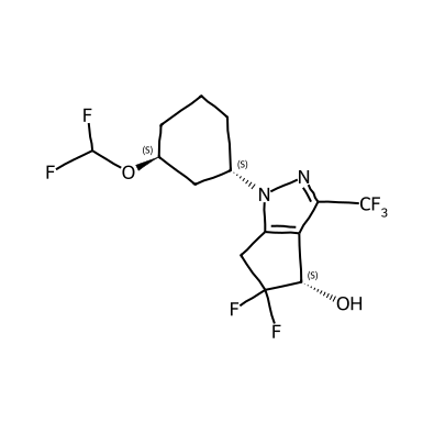 O[C@H]1c2c(C(F)(F)F)nn([C@H]3CCC[C@H](OC(F)F)C3)c2CC1(F)F